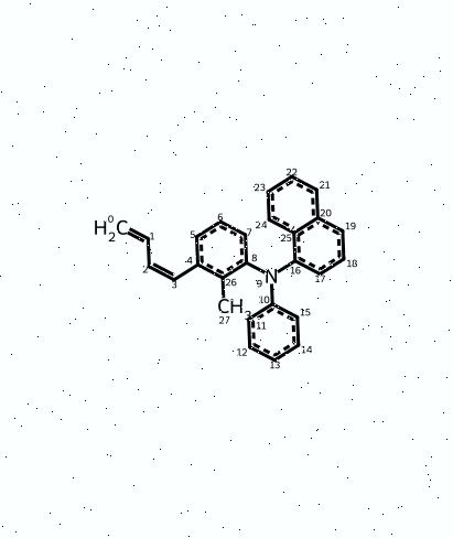 C=C/C=C\c1cccc(N(c2ccccc2)c2cccc3ccccc23)c1C